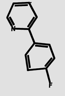 Fc1ccc(-c2c[c]ccn2)cc1